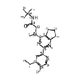 CCc1cc(-c2nc3c(c(N(C)CC(=O)NC(C)(C)C)n2)CCC3)ncc1C